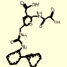 O=C(NCc1cc(C(=O)O)c(NC(=O)C(=O)O)s1)Nc1ccccc1-c1ccccc1